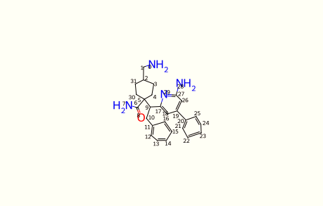 NCC1CCC(C(N)=O)(C(Cc2ccccc2)c2cc(-c3ccccc3)cc(N)n2)CC1